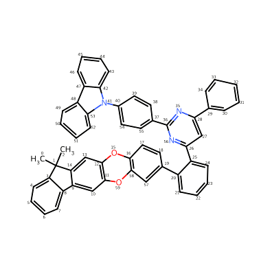 CC1(C)c2ccccc2-c2cc3c(cc21)Oc1ccc(-c2ccccc2-c2cc(-c4ccccc4)nc(-c4ccc(-n5c6ccccc6c6ccccc65)cc4)n2)cc1O3